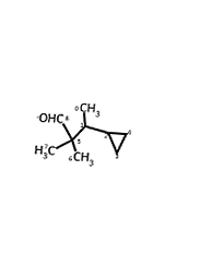 CC(C1CC1)C(C)(C)[C]=O